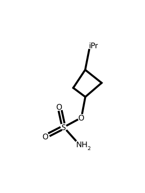 CC(C)C1CC(OS(N)(=O)=O)C1